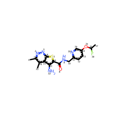 Cc1nnc2sc(C(=O)NCc3ccc(OC(C)F)cn3)c(N)c2c1C